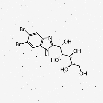 OC[C@@H](O)[C@H](O)[C@H](O)[C@@H](O)c1nc2cc(Br)c(Br)cc2[nH]1